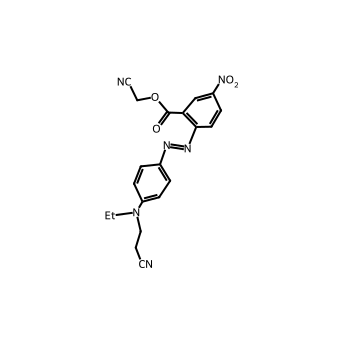 CCN(CCC#N)c1ccc(/N=N/c2ccc([N+](=O)[O-])cc2C(=O)OCC#N)cc1